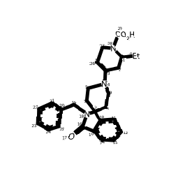 CCC1CC(N2CCC3(CC2)c2ccccc2C(=O)N3Cc2ccccc2)CCN1C(=O)O